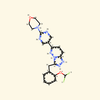 FC(F)Oc1ccccc1Cc1nnc2ccc(-c3cnc(N4CCOCC4)nc3)nn12